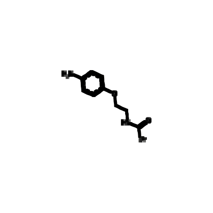 CC(C)C(=O)NCCOc1ccc(N)cc1